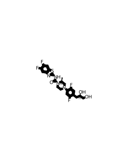 C[C@H]1CN(c2cc(F)c(C[C@H](O)CO)cc2F)CCN1C(=O)Nc1nc2cc(F)c(F)cc2s1